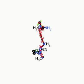 CN(C/C=C/C(=O)N1CCN(c2nc(OC[C@@H]3CCCN3C)nc3c2CCN(c2cccc4cccc(Cl)c24)C3)C[C@@H]1CC#N)CCOCCOCCOCCOCCON(C)C(=O)N1N=C(c2cc(F)ccc2F)SC1(CCCN)c1ccccc1